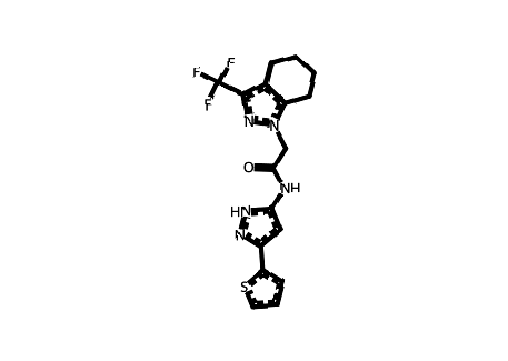 O=C(Cn1nc(C(F)(F)F)c2c1CCCC2)Nc1cc(-c2cccs2)n[nH]1